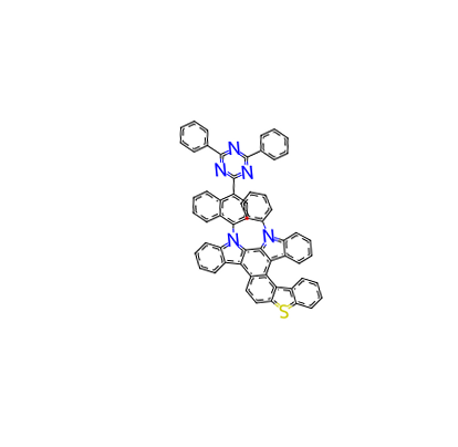 c1ccc(-c2nc(-c3ccccc3)nc(-c3ccc(-n4c5ccccc5c5c6ccc7sc8ccccc8c7c6c6c7ccccc7n(-c7ccccc7)c6c54)c4ccccc34)n2)cc1